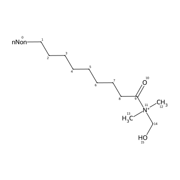 CCCCCCCCCCCCCCCCCC(=O)[N+](C)(C)CO